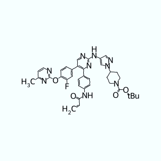 C=CC(=O)Nc1ccc(-c2nc(Nc3cnn(C4CCN(C(=O)OC(C)(C)C)CC4)c3)ncc2-c2ccc(Oc3nccc(C)n3)c(F)c2)cc1